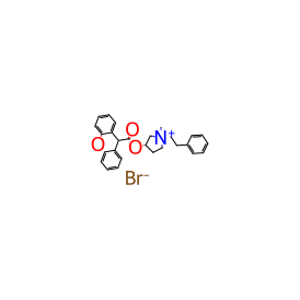 C[N+]1(CCc2ccccc2)CC[C@H](OC(=O)C2c3ccccc3Oc3ccccc32)C1.[Br-]